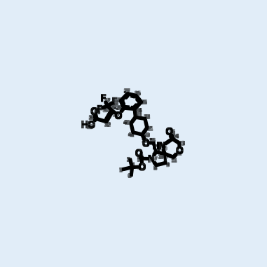 CC(C)(C)OC(=O)N1CC[C@@]2(COCC(=O)N2)[C@@H]1COC1CCC(c2ccccc2OC(=CC(=O)O)C(F)(F)F)CC1